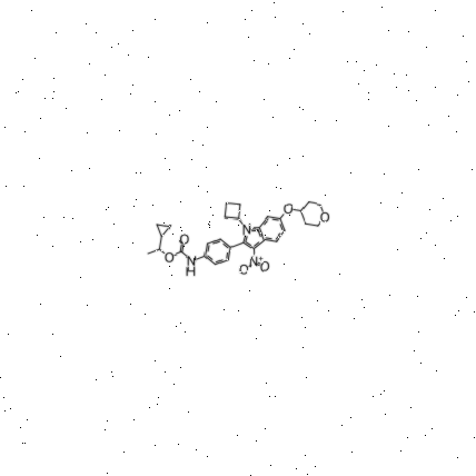 CC(OC(=O)Nc1ccc(-c2c([N+](=O)[O-])c3ccc(OC4CCOCC4)cc3n2C2CCC2)cc1)C1CC1